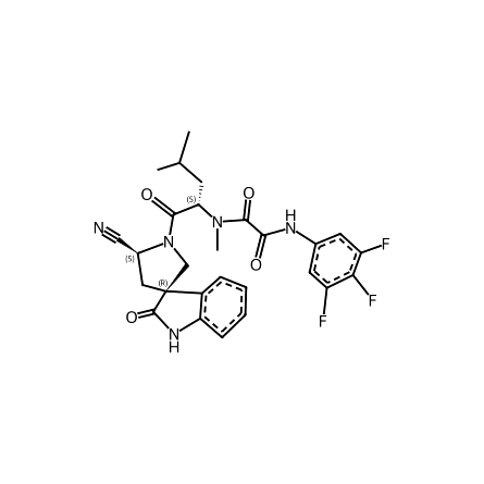 CC(C)C[C@@H](C(=O)N1C[C@]2(C[C@H]1C#N)C(=O)Nc1ccccc12)N(C)C(=O)C(=O)Nc1cc(F)c(F)c(F)c1